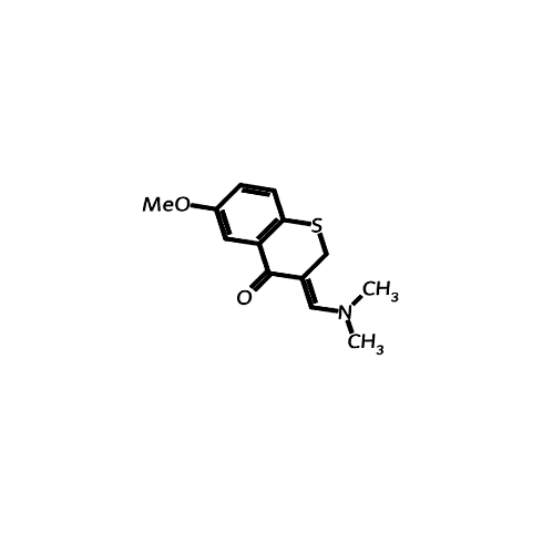 COc1ccc2c(c1)C(=O)C(=CN(C)C)CS2